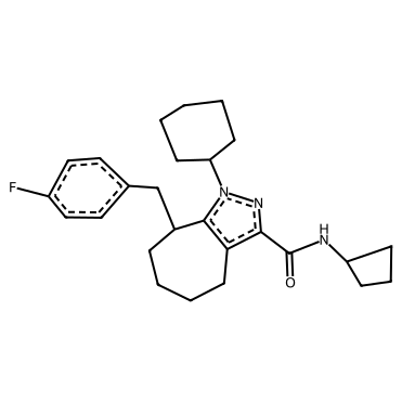 O=C(NC1CCC1)c1nn(C2CCCCC2)c2c1CCCCC2Cc1ccc(F)cc1